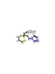 CCCCCCCCCC1(CCn2ccnc2)SCCCS1